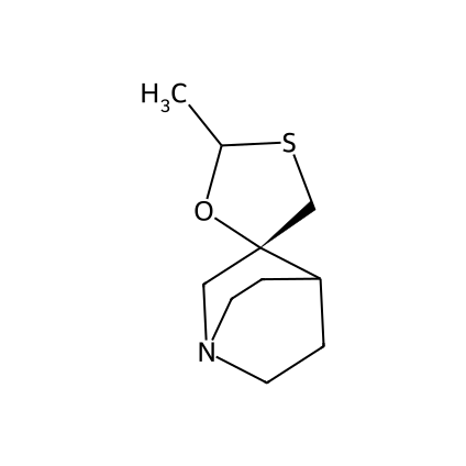 CC1O[C@@]2(CS1)CN1CCC2CC1